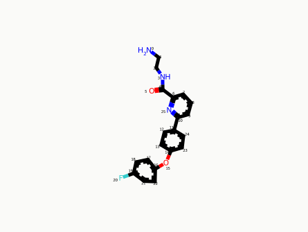 NCCNC(=O)c1cccc(-c2ccc(Oc3ccc(F)cc3)cc2)n1